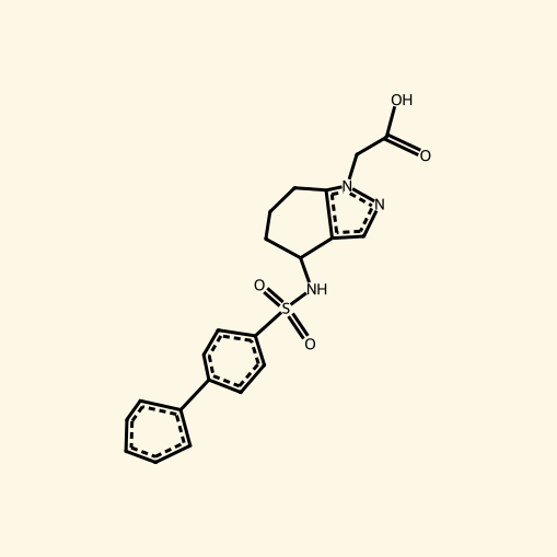 O=C(O)Cn1ncc2c1CCCC2NS(=O)(=O)c1ccc(-c2ccccc2)cc1